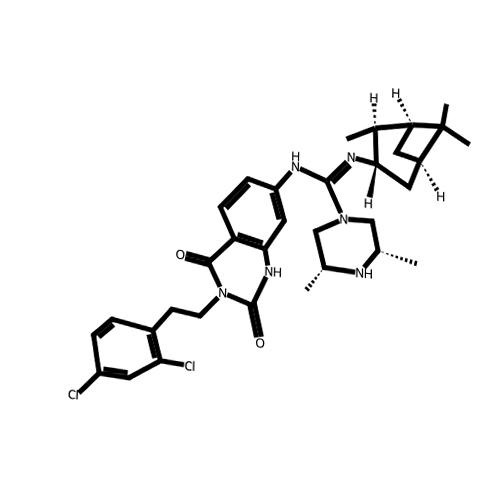 C[C@@H]1[C@@H](/N=C(/Nc2ccc3c(=O)n(CCc4ccc(Cl)cc4Cl)c(=O)[nH]c3c2)N2C[C@@H](C)N[C@@H](C)C2)C[C@H]2C[C@@H]1C2(C)C